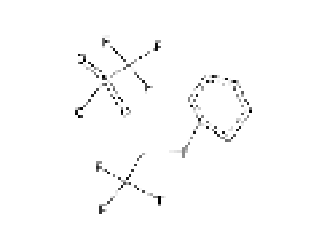 FC(F)(F)C[I+]c1ccccc1.O=S(=O)([O-])C(F)(F)F